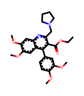 CCOC(=O)c1c(CN2CCCC2)nc2cc(OC)c(OC)cc2c1-c1ccc(OC)c(OC)c1